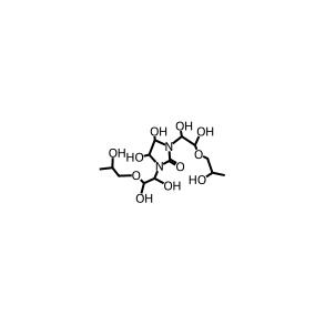 CC(O)COC(O)C(O)N1C(=O)N(C(O)C(O)OCC(C)O)C(O)C1O